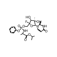 C=C1NC(=O)C=CN1[C@@H]1O[C@](F)(COP(=O)(NC(C)C(=O)OC(C)C)Oc2ccccc2)[C@@H](O)[C@@]1(C)O